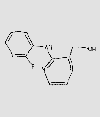 OCc1cccnc1Nc1ccccc1F